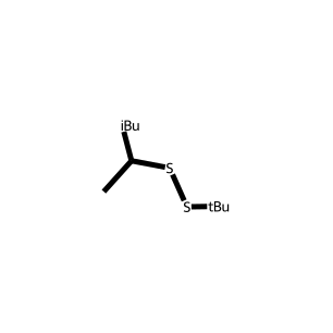 CCC(C)C(C)SSC(C)(C)C